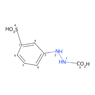 O=C(O)NNc1cccc(S(=O)(=O)O)c1